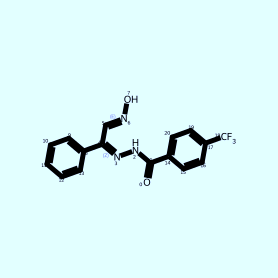 O=C(N/N=C(\C=N\O)c1ccccc1)c1ccc(C(F)(F)F)cc1